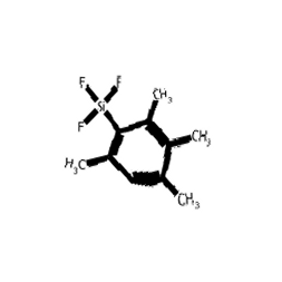 Cc1cc(C)c([Si](F)(F)F)c(C)c1C